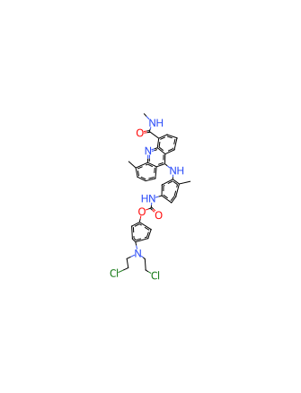 CNC(=O)c1cccc2c(Nc3cc(NC(=O)Oc4ccc(N(CCCl)CCCl)cc4)ccc3C)c3cccc(C)c3nc12